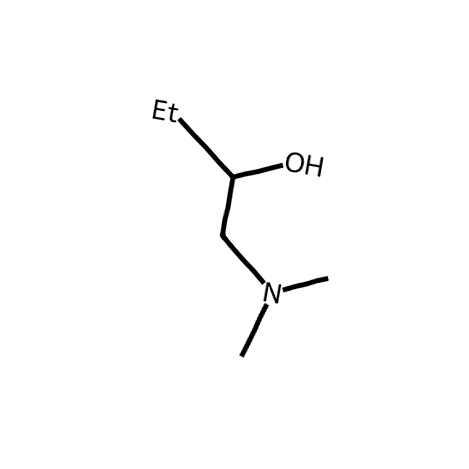 CCC(O)CN(C)C